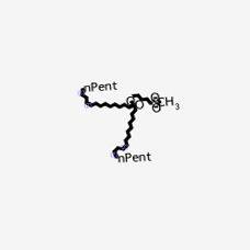 CCCCC/C=C\C/C=C\CCCCCCCCC1(CCCCCCCC/C=C\C/C=C\CCCCC)OCCC(CCS(C)(=O)=O)O1